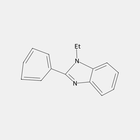 CCn1c(-c2ccccc2)nc2ccccc21